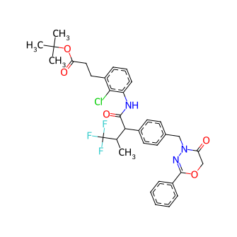 CC(C(C(=O)Nc1cccc(CCC(=O)OC(C)(C)C)c1Cl)c1ccc(CN2N=C(c3ccccc3)OCC2=O)cc1)C(F)(F)F